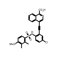 COc1ccc(S(=O)(=O)Nc2ccc(Cl)cc2C#Cc2cnc(C(=O)O)c3ccccc23)c(C)c1C